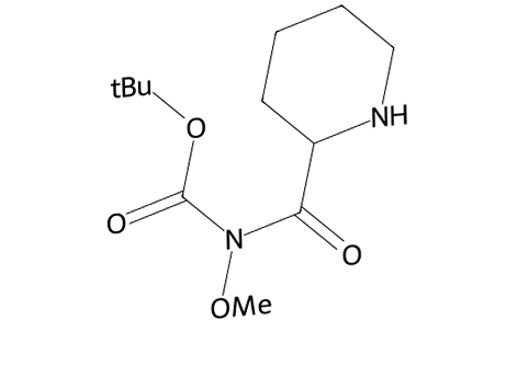 CON(C(=O)OC(C)(C)C)C(=O)C1CCCCN1